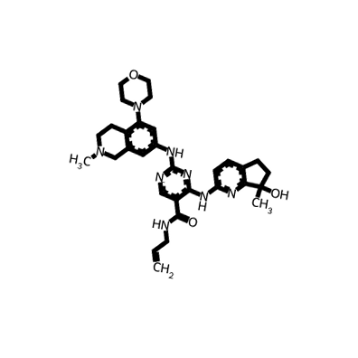 C=CCNC(=O)c1cnc(Nc2cc3c(c(N4CCOCC4)c2)CCN(C)C3)nc1Nc1ccc2c(n1)C(C)(O)CC2